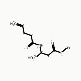 C=CCCC(=O)NC(CC(=O)SC(C)C)C(=O)O